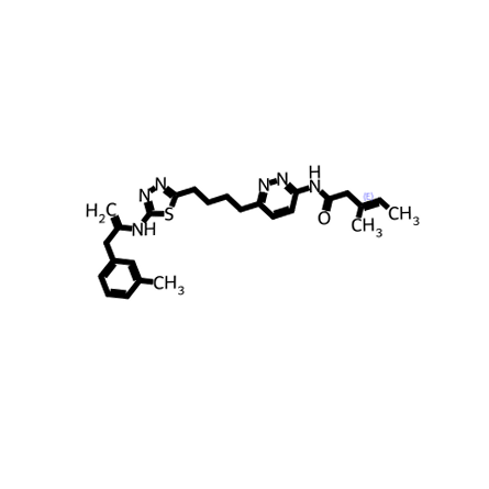 C=C(Cc1cccc(C)c1)Nc1nnc(CCCCc2ccc(NC(=O)C/C(C)=C/C)nn2)s1